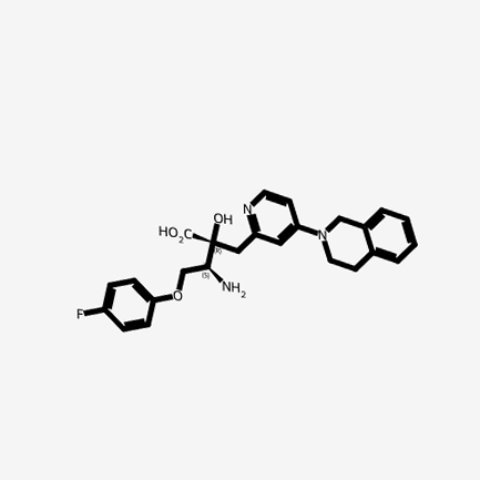 N[C@@H](COc1ccc(F)cc1)[C@](O)(Cc1cc(N2CCc3ccccc3C2)ccn1)C(=O)O